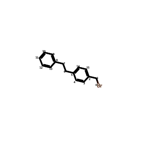 BrCc1ccc(CCc2ccccc2)cc1